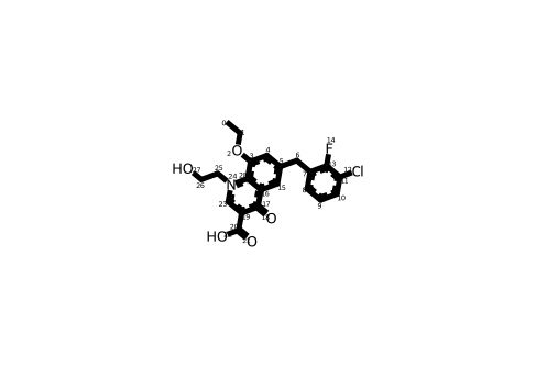 CCOc1cc(Cc2cccc(Cl)c2F)cc2c(=O)c(C(=O)O)cn(CCO)c12